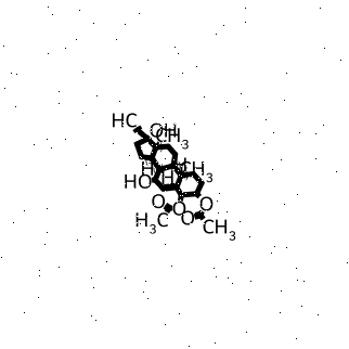 C#CC1(O)CC[C@H]2[C@@H]3C(O)C=C4C(OC(C)=O)C(OC(C)=O)CC[C@]4(C)[C@@H]3CC[C@@]21C